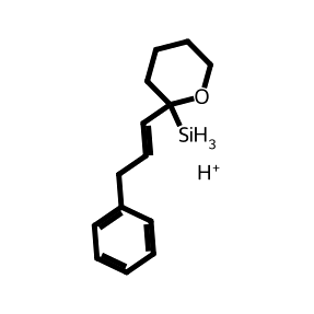 [H+].[SiH3]C1(C=CCc2ccccc2)CCCCO1